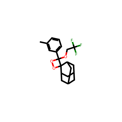 Cc1cccc(C2(OCC(F)(F)F)OOC23C2CC4CC(C2)CC3C4)c1